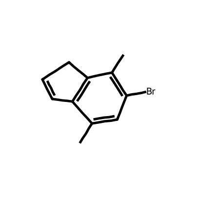 Cc1cc(Br)c(C)c2c1C=CC2